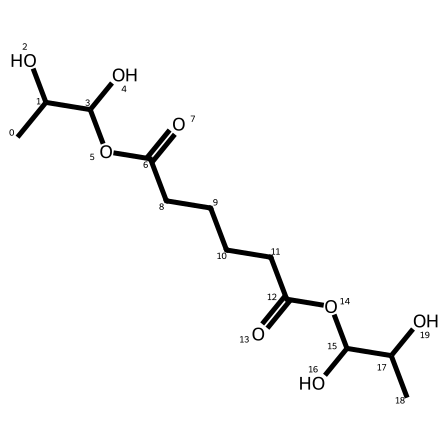 CC(O)C(O)OC(=O)CCCCC(=O)OC(O)C(C)O